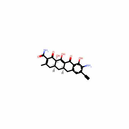 C#Cc1cc2c(c(O)c1N)C(=O)C1=C(O)[C@]3(O)C(=O)C(C(N)=O)=C(C)C[C@@H]3C[C@@H]1C2